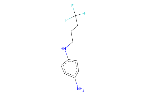 Nc1ccc(NCCCC(F)(F)F)cc1